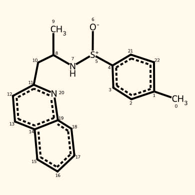 Cc1ccc([S+]([O-])NC(C)Cc2ccc3ccccc3n2)cc1